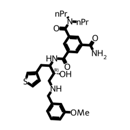 CCCN(CCC)C(=O)c1cc(C(N)=O)cc(C(=O)NC(Cc2ccsc2)[C@H](O)CNCc2cccc(OC)c2)c1